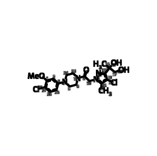 COc1cc(N2CCN(C(=O)Cn3nc(C(C)(O)CO)c(Cl)c3C)CC2)ccc1Cl